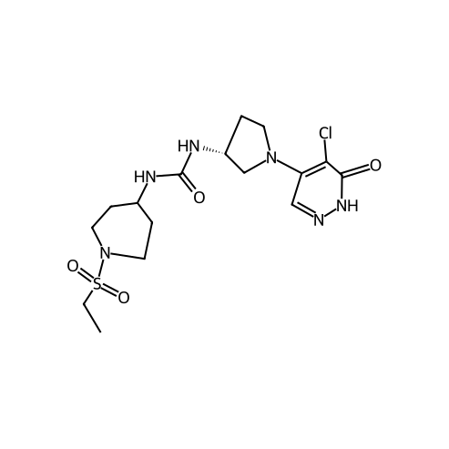 CCS(=O)(=O)N1CCC(NC(=O)N[C@@H]2CCN(c3cn[nH]c(=O)c3Cl)C2)CC1